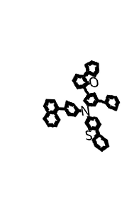 c1ccc(-c2cc(-c3cccc4c3oc3ccccc34)cc(N(c3ccc(-c4cccc5ccccc45)cc3)c3ccc4c(c3)sc3ccccc34)c2)cc1